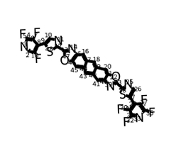 Fc1cnc(F)c(F)c1-c1cnc(-c2nc3cc4cc5cc6oc(-c7ncc(-c8c(F)c(F)nc(F)c8F)s7)nc6cc5cc4cc3o2)s1